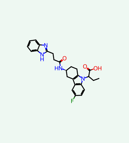 CCC(C(=O)O)n1c2c(c3cc(F)ccc31)C[C@@H](NC(=O)CCc1nc3ccccc3[nH]1)CC2